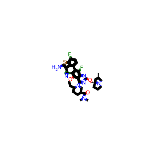 C[C@H]1CN2CCC[C@@]2(COc2nc3c4c(c(Cl)c(-c5ccc(F)c6sc(N)c(C#N)c56)c(F)c4n2)OCCC2CCC(C(=O)N(C)C)CN32)C1